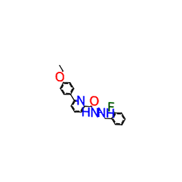 CCOc1ccc(-c2cccc(C(=O)NNCc3ccccc3F)n2)cc1